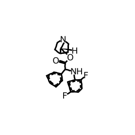 O=C(O[C@H]1CN2CCC1CC2)C(Nc1cc(F)ccc1F)c1ccccc1